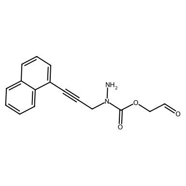 NN(CC#Cc1cccc2ccccc12)C(=O)OCC=O